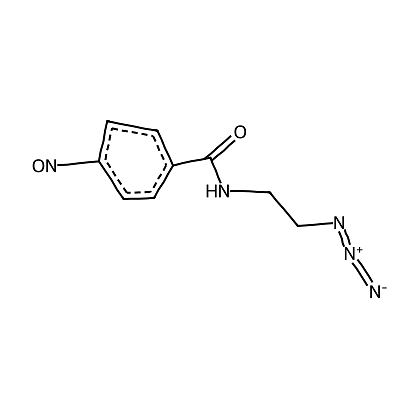 [N-]=[N+]=NCCNC(=O)c1ccc(N=O)cc1